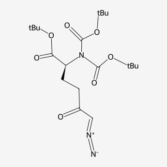 CC(C)(C)OC(=O)[C@H](CCC(=O)C=[N+]=[N-])N(C(=O)OC(C)(C)C)C(=O)OC(C)(C)C